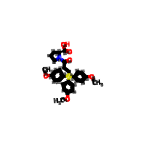 COc1ccc(S(CCC(=O)N2CCC[C@H]2C(=O)O)(c2ccc(OC)cc2)c2ccc(OC)cc2)cc1